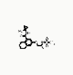 C[C@@H](COc1cc2c(c(C(=O)NC3(C#N)CC3)c1)CCCC2)NS(=O)(=O)C(F)(F)F